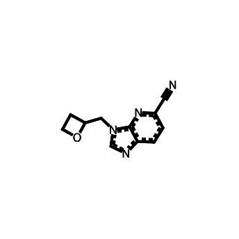 N#Cc1ccc2ncn(CC3CCO3)c2n1